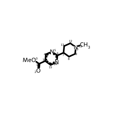 COC(=O)c1cnc(C2CCN(C)CC2)nc1